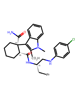 CC(C)C[C@@H](CNc1ccc(Cl)cc1)NC(=O)[C@@H]1CCCC[C@@]1(C(N)=O)c1c(C(=O)O)n(C)c2ccccc12